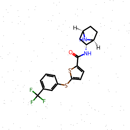 O=C(N[C@@H]1C[C@H]2CC[C@@H]1N2)c1ccc(Sc2cccc(C(F)(F)F)c2)s1